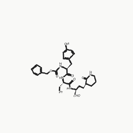 CC(C)C[C@H](NC(=O)[C@H](Cc1ccc(O)cc1)NC(=O)OCc1ccccc1)C(=O)N[C@H](C=O)CC[C@@H]1CCCNC1=O